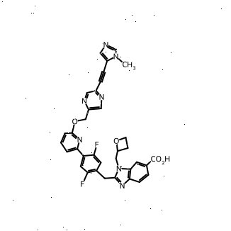 Cn1cncc1C#Cc1cnc(COc2cccc(-c3cc(F)c(Cc4nc5ccc(C(=O)O)cc5n4CC4CCO4)cc3F)n2)cn1